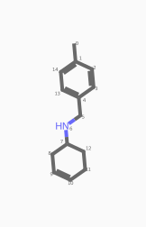 Cc1ccc(CNC2CC=CCC2)cc1